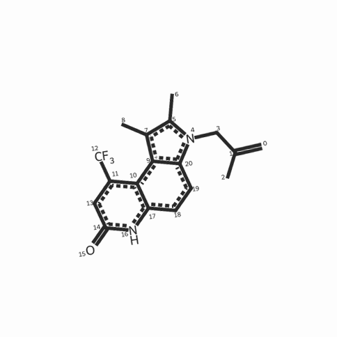 C=C(C)Cn1c(C)c(C)c2c3c(C(F)(F)F)cc(=O)[nH]c3ccc21